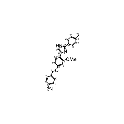 COc1cc(OCc2ccc(C#N)cc2)ccc1-c1c[nH]c(-c2ccc(C)cc2)n1